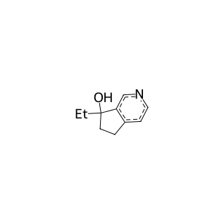 CCC1(O)CCc2ccncc21